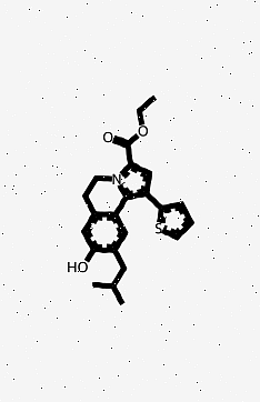 CCOC(=O)c1cc(-c2cccs2)c2n1CCc1cc(O)c(CC(C)C)cc1-2